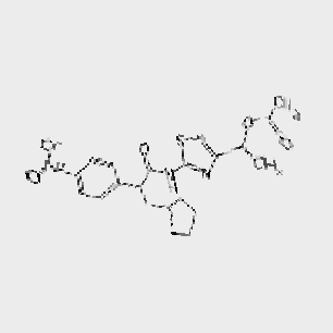 CC(=O)OC(C)c1csc(NC(=O)C(CC2CCCC2)c2ccc([N+](=O)[O-])cc2)n1